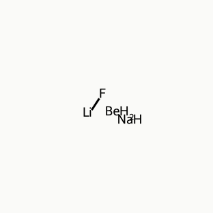 [BeH2].[Li][F].[NaH]